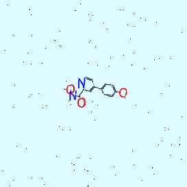 COc1ccc(-c2ccnc(C(=O)N(C)OC)c2)cc1